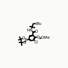 COCOc1c(Cl)cc(B2OC(C)(C)C(C)(C)O2)cc1C(=O)NC(C)(C)CC(C)(C)C